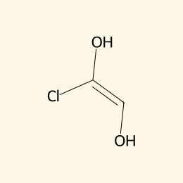 OC=C(O)Cl